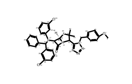 COc1ccc(Cn2nnnc2C2N3C(=O)C(N(c4cccc(Cl)c4)C(c4ccccc4)c4cccc(Cl)c4)[C@H]3SC2(C)C)cc1